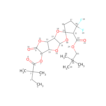 CCC(C)(C)C(=O)OC1C(=O)OC2C3OC4(CCC(F)(F)C4C(=O)OC[Si](C)(C)C)OC3OC12